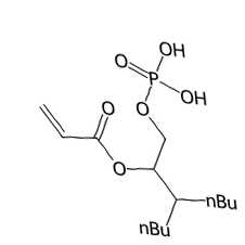 C=CC(=O)OC(COP(=O)(O)O)C(CCCC)CCCC